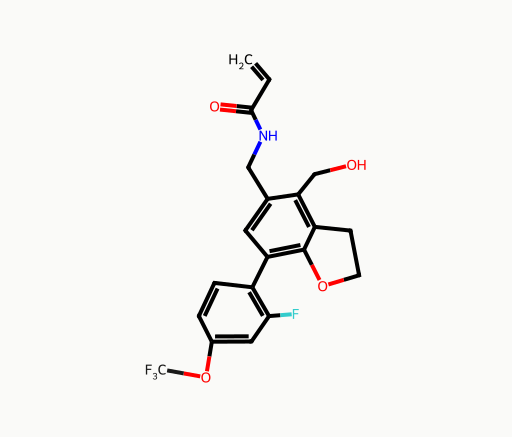 C=CC(=O)NCc1cc(-c2ccc(OC(F)(F)F)cc2F)c2c(c1CO)CCO2